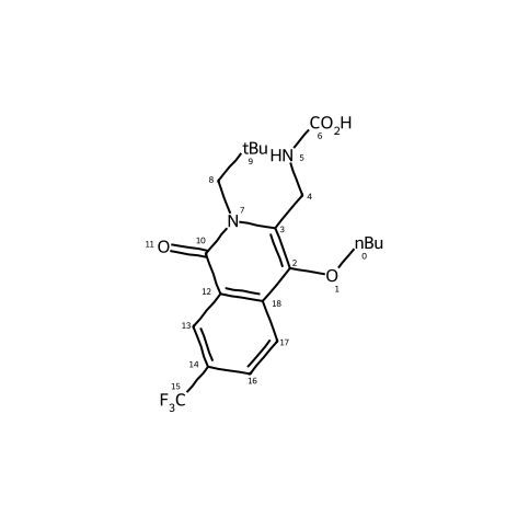 CCCCOc1c(CNC(=O)O)n(CC(C)(C)C)c(=O)c2cc(C(F)(F)F)ccc12